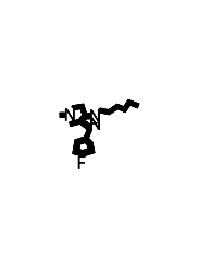 CCCCCCn1nc(-c2ccc(F)cc2)c2c1CCN(C)C2